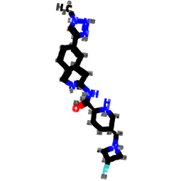 Cn1cc(-c2ccc3cnc(NC(=O)[C@@H]4CC[C@@H](CN5CC(F)C5)CN4)cc3c2)nn1